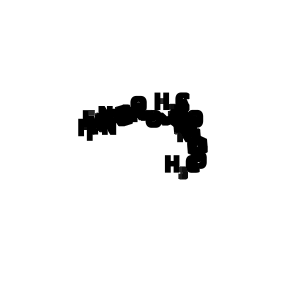 CCn1cc(CCOC=CC(=O)N2CCN(c3ncc(C(F)(F)F)cn3)CC2)c2cnn(Cc3ccc(OC)cc3)c(=O)c21